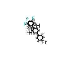 [2H]C1CC(C2CCC(CC)CC2)CC([2H])([2H])C1c1cc(F)c(F)c(F)c1